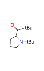 CC(C)(C)C(=O)C1CCCN1C(C)(C)C